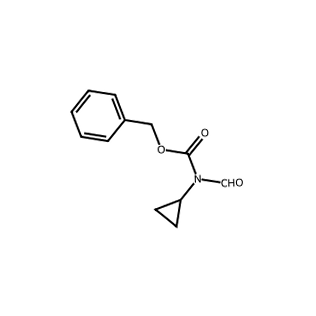 O=CN(C(=O)OCc1ccccc1)C1CC1